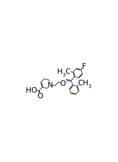 Cc1ccccc1/C(=C\OCCN1CCC=C(C(=O)O)C1)c1ccc(F)cc1C